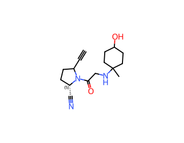 C#CC1CC[C@@H](C#N)N1C(=O)CNC1(C)CCC(O)CC1